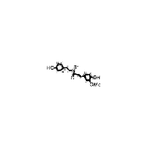 COc1cc(C=CC(=O)N(Br)CCc2ccc(O)cc2)ccc1O